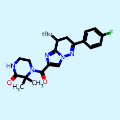 CC(C)(C)C1CC(c2ccc(F)cc2)=Nn2cc(C(=O)N3CCNC(=O)C3(C)C)nc21